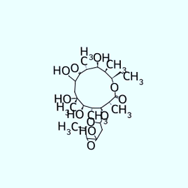 CC[C@H]1OC(=O)[C@H](C)[C@@H](OC2CC3(O)OC3C(C)O2)[C@H](C)[C@@H](O)[C@](C)(O)CC(CO)C(=O)[C@H](C)[C@@H](O)[C@H]1C